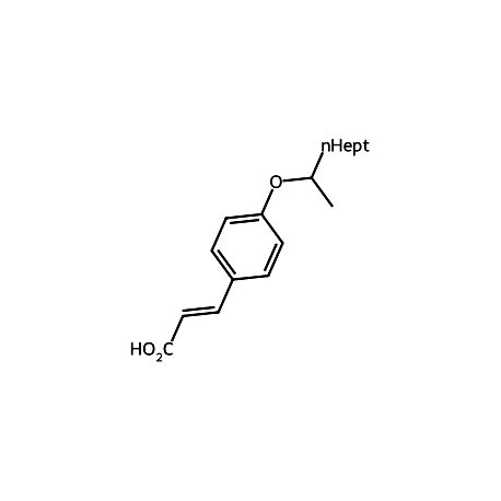 CCCCCCCC(C)Oc1ccc(C=CC(=O)O)cc1